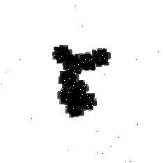 c1ccc(-c2ccc(-c3nc(-c4ccccc4)cc(-c4cccc(-c5ccc6c(c5)C5(c7ccccc7-c7ccccc75)c5ccccc5-6)c4)n3)cn2)cc1